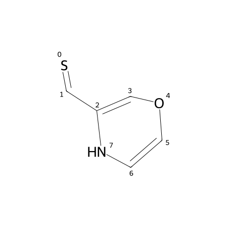 S=CC1=COC=CN1